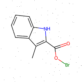 Cc1c(C(=O)OBr)[nH]c2ccccc12